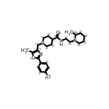 Cc1oc(-c2ccc(Cl)cc2)nc1CN1CCC(C(=O)NCCN2CCCCC2C)CC1